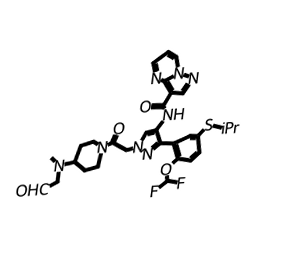 CC(C)Sc1ccc(OC(F)F)c(-c2nn(CC(=O)N3CCC(N(C)CC=O)CC3)cc2NC(=O)c2cnn3cccnc23)c1